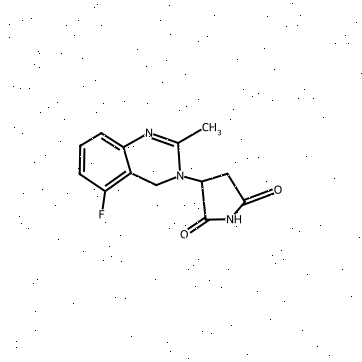 CC1=Nc2cccc(F)c2CN1C1CC(=O)NC1=O